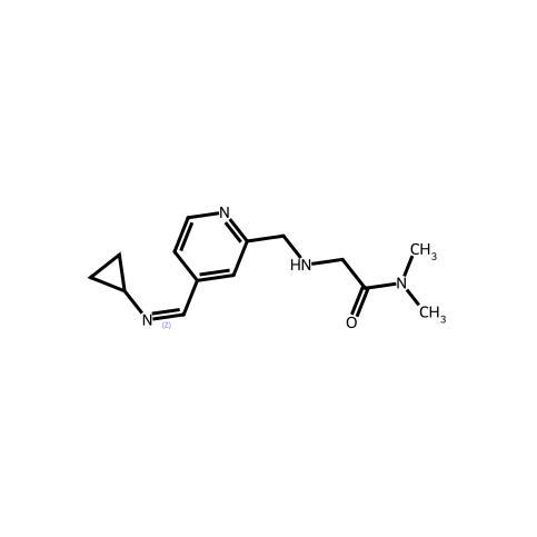 CN(C)C(=O)CNCc1cc(/C=N\C2CC2)ccn1